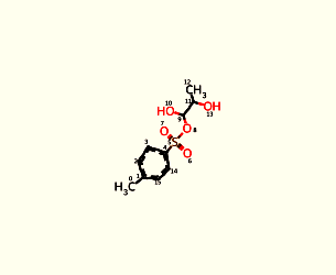 Cc1ccc(S(=O)(=O)OC(O)C(C)O)cc1